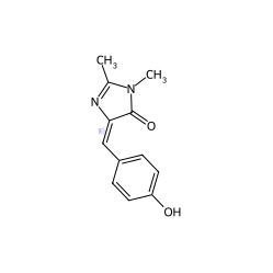 CC1=N/C(=C/c2ccc(O)cc2)C(=O)N1C